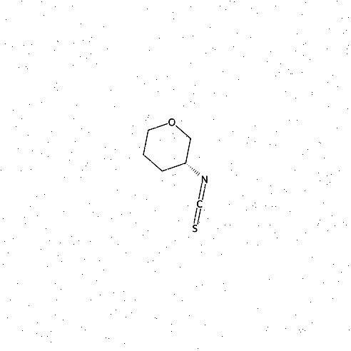 S=C=N[C@@H]1CCCOC1